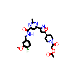 COc1cc(CNC(=O)c2cc(C3=NO[C@@H](C4CCN(C(=O)COC(C)=O)CC4)C3)nc(C)n2)ccc1F